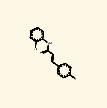 O=C(C=Cc1ccc(F)cc1)Nc1ccccc1Cl